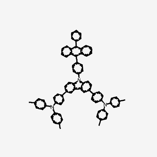 Cc1ccc(N(c2ccc(C)cc2)c2ccc(-c3ccc4c(c3)c3cc(-c5ccc(N(c6ccc(C)cc6)c6ccc(C)cc6)cc5)ccc3n4-c3ccc(-c4c5ccccc5c(-c5ccccc5)c5ccccc45)cc3)cc2)cc1